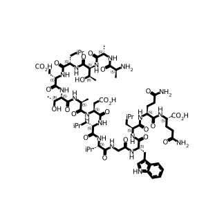 CC(C)C[C@H](NC(=O)[C@H](Cc1c[nH]c2ccccc12)NC(=O)CNC(=O)[C@@H](NC(=O)[C@H](CC(C)C)NC(=O)[C@H](CC(=O)O)NC(=O)[C@H](C)NC(=O)[C@@H](NC(=O)[C@H](CC(=O)O)NC(=O)[C@H](CC(C)C)NC(=O)[C@@H](NC(=O)[C@H](C)NC(=O)[C@H](C)N)[C@@H](C)O)[C@@H](C)O)C(C)C)C(=O)N[C@@H](CCC(N)=O)C(=O)N[C@@H](CCC(N)=O)C(=O)O